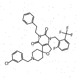 O=c1c2c(n(Cc3c(F)cccc3C(F)(F)F)c(=O)n1CCc1ccccc1)COC21CCN(Cc2cccc(Cl)c2)CC1